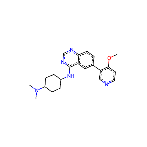 COc1ccncc1-c1ccc2ncnc(NC3CCC(N(C)C)CC3)c2c1